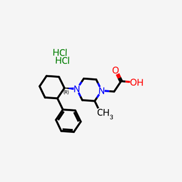 CC1CN([C@@H]2CCCCC2c2ccccc2)CCN1CC(=O)O.Cl.Cl